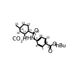 CCCCOC(=O)c1ccc(NC(=O)C2CCC(C)CC2C(=O)O)cc1